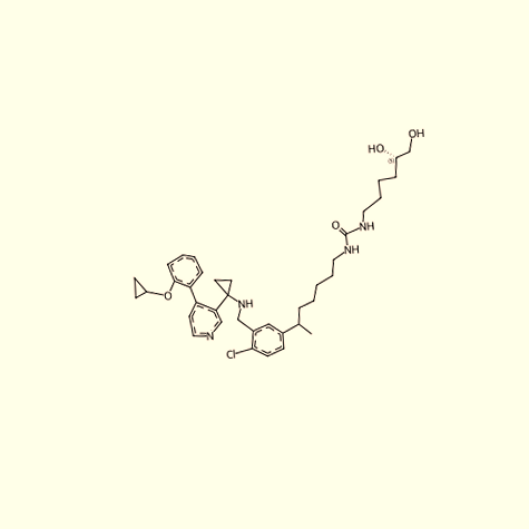 CC(CCCCCNC(=O)NCCCC[C@H](O)CO)c1ccc(Cl)c(CNC2(c3cnccc3-c3ccccc3OC3CC3)CC2)c1